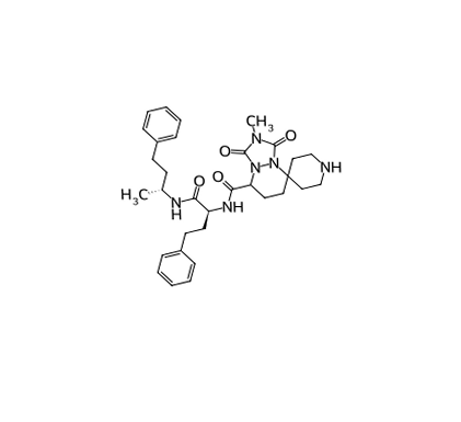 C[C@H](CCc1ccccc1)NC(=O)[C@H](CCc1ccccc1)NC(=O)C1CCC2(CCNCC2)n2c(=O)n(C)c(=O)n21